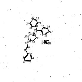 C(=C\c1ccccc1)/CN1CCN(C(c2ccccc2)c2ccccc2)CC1.Cl.Cl